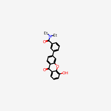 CCN(CC)C(=O)c1cccc(-c2ccc3c(=O)c4cccc(O)c4oc3c2)c1